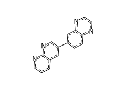 c1cnc2ncc(-c3ccc4nccnc4c3)cc2c1